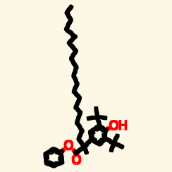 CCCCCCCCCCCCCCCCCCC(C)(C(=O)Oc1ccccc1)c1cc(C(C)(C)C)c(O)c(C(C)(C)C)c1